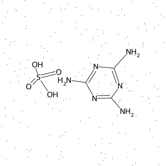 Nc1nc(N)nc(N)n1.O=S(=O)(O)O